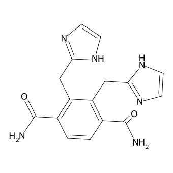 NC(=O)c1ccc(C(N)=O)c(Cc2ncc[nH]2)c1Cc1ncc[nH]1